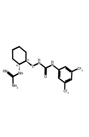 N=C(N)N[C@@H]1CCCC[C@H]1SNC(=O)Nc1cc(C(F)(F)F)cc(C(F)(F)F)c1